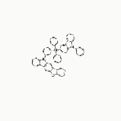 c1ccc(-n2c3ccccc3c3cc([Si](c4ccccc4)(c4ccccc4)c4cccc(-n5c6ccccc6c6cc7oc8ccccc8c7cc65)c4)ccc32)cc1